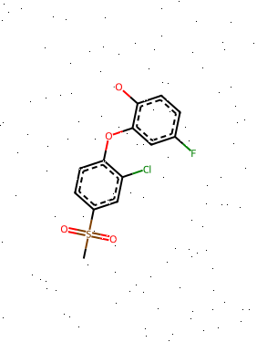 CS(=O)(=O)c1ccc(Oc2cc(F)ccc2[O])c(Cl)c1